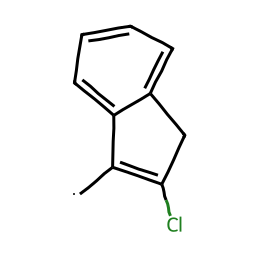 [CH2]C1=C(Cl)Cc2ccccc21